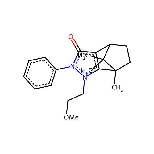 COCCn1c2c(c(=O)n1-c1ccccc1)C1CCC2(C)C1(C)C